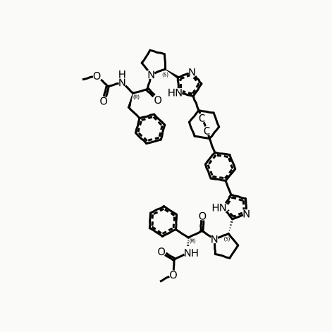 COC(=O)N[C@H](Cc1ccccc1)C(=O)N1CCC[C@H]1c1ncc(C23CCC(c4ccc(-c5cnc([C@@H]6CCCN6C(=O)[C@H](NC(=O)OC)c6ccccc6)[nH]5)cc4)(CC2)CC3)[nH]1